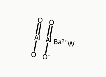 [Ba+2].[O]=[Al][O-].[O]=[Al][O-].[W]